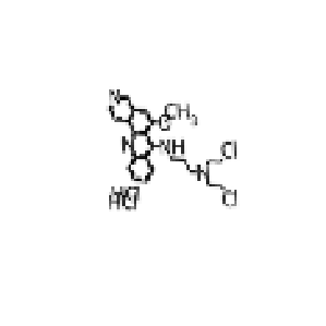 COc1cc2cnccc2c2nc3ccccc3c(NCCCN(CCCl)CCCl)c12.Cl.Cl